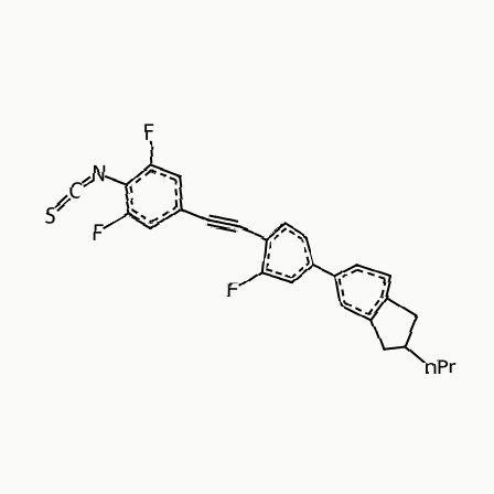 CCCC1Cc2ccc(-c3ccc(C#Cc4cc(F)c(N=C=S)c(F)c4)c(F)c3)cc2C1